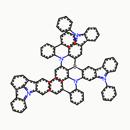 c1ccc(-c2ccccc2N2c3cc4c(cc3B3c5cc6c7ccccc7n(-c7ccccc7)c6cc5N(c5ccccc5-c5ccccc5)c5cc(-c6ccc7c(c6)c6cccc8c9ccccc9n7c86)cc2c53)c2ccccc2n4-c2ccccc2)cc1